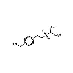 CCCCCC(C(=O)O)S(=O)(=O)CCc1ccc(CN)cc1